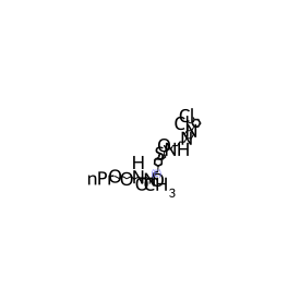 CCCOCCOCCNC(=O)CN(C)C(=O)/C=C/c1ccc2sc(C(=O)NCCCCN3CCN(c4cccc(Cl)c4Cl)CC3)cc2c1